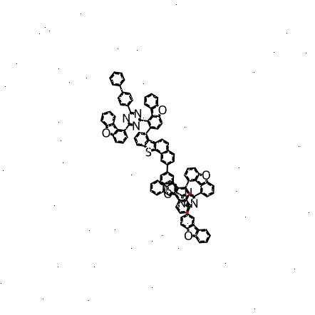 c1ccc(-c2ccc(-c3nc(-c4cccc5oc6ccccc6c45)nc(-c4c(-c5cccc6sc7c8cc(-c9ccc%10oc%11c%12ccccc%12cc(-c%12cccc%13oc%14cccc(-c%15nc(-c%16ccc%17ccccc%17c%16)nc(-c%16ccc%17oc%18ccccc%18c%17c%16)n%15)c%14c%12%13)c%11c%10c9)ccc8ccc7c56)ccc5oc6ccccc6c45)n3)cc2)cc1